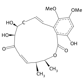 COc1cc(O)c2c(c1OC)/C=C/C[C@H](O)[C@H](O)C(=O)/C=C\[C@H](C)[C@H](C)OC2=O